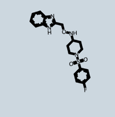 O=S(=O)(c1ccc(F)cc1)N1CCC(NOCc2nc3ccccc3[nH]2)CC1